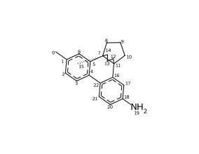 Cc1ccc2c(c1)C13CCCC1(CC[C@H]3C)c1cc(N)ccc1-2